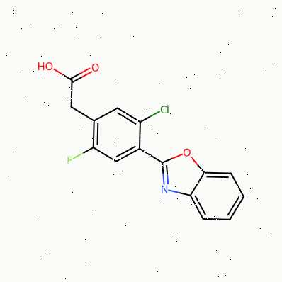 O=C(O)Cc1cc(Cl)c(-c2nc3ccccc3o2)cc1F